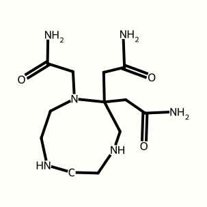 NC(=O)CN1CCNCCNCC1(CC(N)=O)CC(N)=O